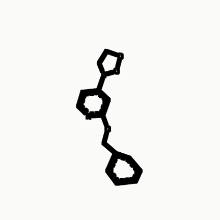 c1ccc(COc2cc(B3CCOO3)ccn2)cc1